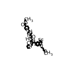 CCOC(=O)C1CCN(c2cnc(C(=O)Nc3nc(-c4ccc(OCCCOC)c(C(F)(F)F)c4)c(CN4CCC[C@H]4C)s3)cn2)CC1